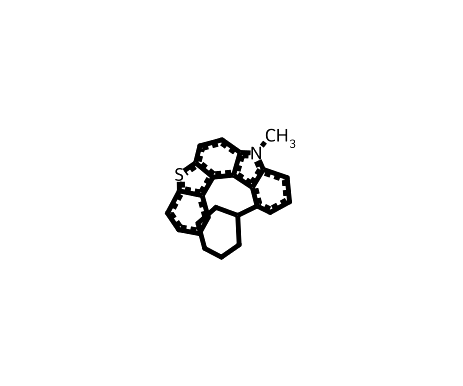 Cn1c2cccc(C3CCCCC3)c2c2c3c(ccc21)sc1ccccc13